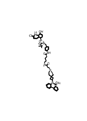 CN(CCCCC(=O)Nc1ccc(CNC[C@H](O[Si](C)(C)C(C)(C)C)c2ccc(O)c3[nH]c(=O)ccc23)cc1)C(=O)CCN1CCC2(CC1)CC(N(C(=O)O)c1ccccc1-c1ccccc1)C2